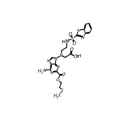 CSCCOC(=O)c1nc(N)c2ncn(N(CCNS(=O)(=O)c3nc4ccccc4s3)CC(=O)O)c2n1